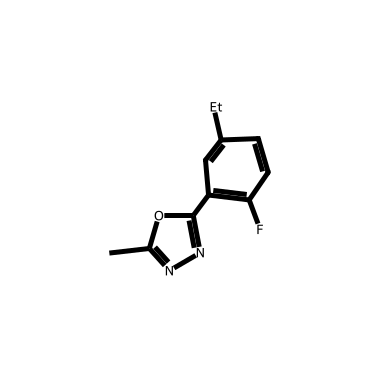 CCc1ccc(F)c(-c2nnc(C)o2)c1